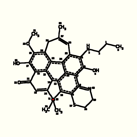 CCCNc1c(O)c2c3c(c(OC)c4c5c6c(c(O)c(OC)c7c6c(c1C=C(C)C7)c42)C(=O)C=C5OC)SCCN=3